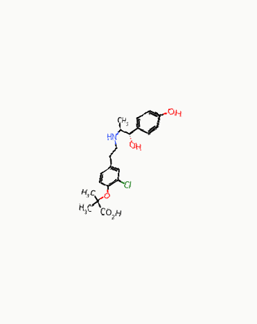 C[C@H](NCCc1ccc(OC(C)(C)C(=O)O)c(Cl)c1)[C@@H](O)c1ccc(O)cc1